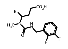 CCC(CCC(=O)O)N(C)C(=O)NCc1cccc(F)c1F